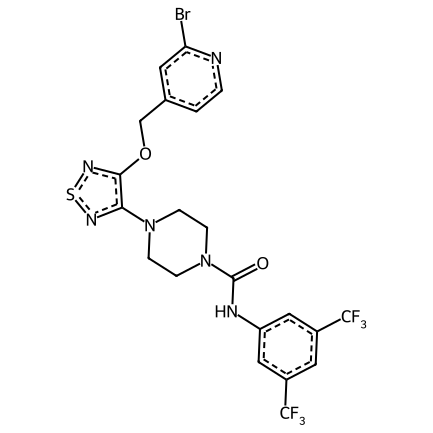 O=C(Nc1cc(C(F)(F)F)cc(C(F)(F)F)c1)N1CCN(c2nsnc2OCc2ccnc(Br)c2)CC1